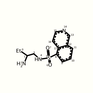 CCC(N)CNS(=O)(=O)c1cccc2cnccc12